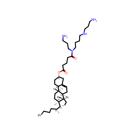 CC(C)CCC[C@@H](C)[C@H]1CC[C@H]2[C@@H]3CC=C4C[C@@H](OC(=O)CCCC(=O)N(CCCN)CCCCNCCCN)CC[C@]4(C)[C@H]3CC[C@]12C